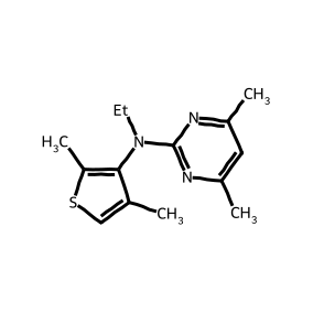 CCN(c1nc(C)cc(C)n1)c1c(C)csc1C